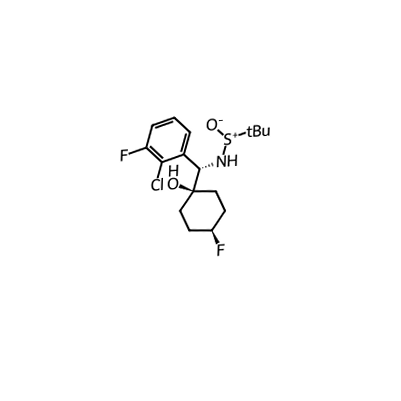 CC(C)(C)[S+]([O-])N[C@@H](c1cccc(F)c1Cl)[C@]1(O)CC[C@@H](F)CC1